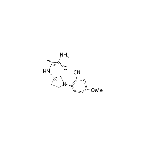 COc1ccc(N2CC[C@H](N[C@@H](C)C(N)=O)C2)c(C#N)c1